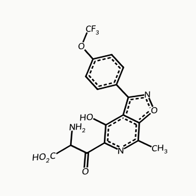 Cc1nc(C(=O)C(N)C(=O)O)c(O)c2c(-c3ccc(OC(F)(F)F)cc3)noc12